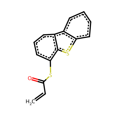 C=CC(=O)Sc1cccc2c1sc1ccccc12